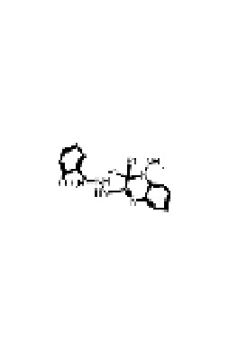 CCC1(CC)C(NNCc2ccccc2C(=O)O)=Nc2ccccc2N1N